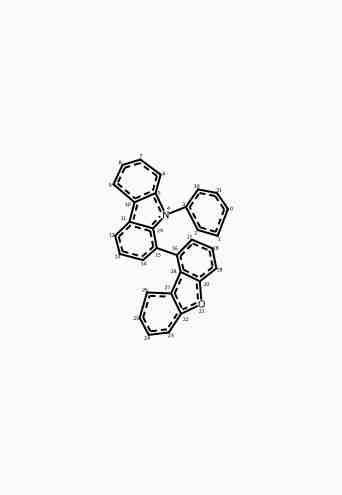 c1ccc(-n2c3ccccc3c3cccc(-c4cccc5oc6ccccc6c45)c32)cc1